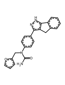 NC(=O)N(Cc1ccco1)c1ccc(-c2n[nH]c3c2Cc2ccccc2-3)cc1